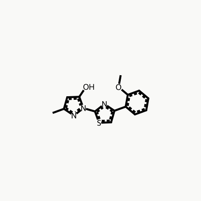 COc1ccccc1-c1csc(-n2nc(C)cc2O)n1